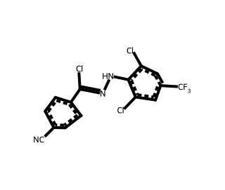 N#Cc1ccc(C(Cl)=NNc2c(Cl)cc(C(F)(F)F)cc2Cl)cc1